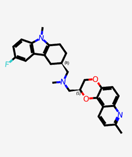 Cc1ccc2c3c(ccc2n1)OC[C@H](CN(C)C[C@@H]1CCc2c(c4cc(F)ccc4n2C)C1)O3